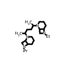 CCN1CC2C1CCCN2C(C)CCC(C)N1CCCC2C1CN2C(C)C